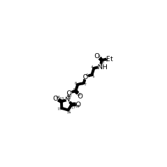 CCC(=O)NCCOCCC(=O)ON1C(=O)CCC1=O